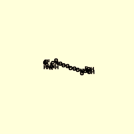 O=C(NCCOCCOCCOCCOCCOCCOCCNC(=O)c1ccc(B(O)O)c(F)c1)c1cccc(-c2cc(Nc3ccc(OC(F)(F)F)cc3)ncn2)c1